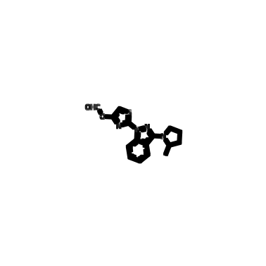 CC1CCCN1c1nn(-c2nc(OC=O)cs2)c2ccccc12